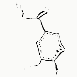 CCOC(=N)c1ccc(F)c(C(F)(F)F)c1